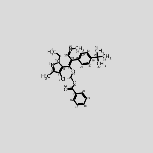 CCn1nc(C)c(Cl)c1/C(OCOC(=O)c1ccccc1)=C(\C=N/C)c1ccc(C(C)(C)C)cc1